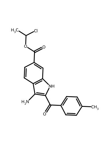 Cc1ccc(C(=O)c2[nH]c3cc(C(=O)OC(C)Cl)ccc3c2N)cc1